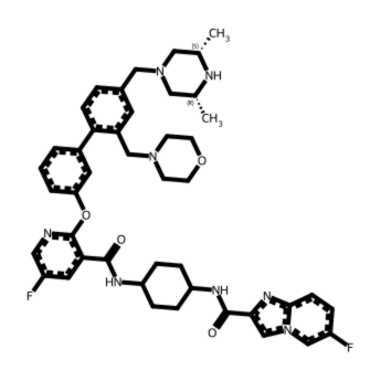 C[C@@H]1CN(Cc2ccc(-c3cccc(Oc4ncc(F)cc4C(=O)NC4CCC(NC(=O)c5cn6cc(F)ccc6n5)CC4)c3)c(CN3CCOCC3)c2)C[C@H](C)N1